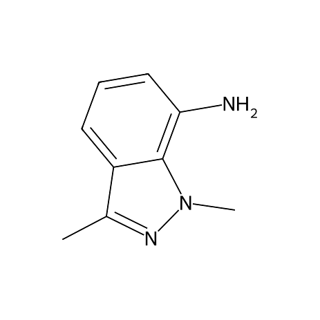 Cc1nn(C)c2c(N)cccc12